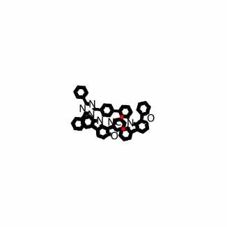 N#Cc1c(-c2ccc(-c3nc(-c4ccccc4)nc(-c4ccccc4)n3)c(-n3c4ccccc4c4ccc5oc6ccccc6c5c43)c2)cccc1-n1c2ccccc2c2ccc3oc4ccccc4c3c21